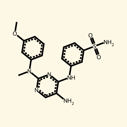 COc1cccc(N(C)c2ncc(N)c(Nc3cccc(S(N)(=O)=O)c3)n2)c1